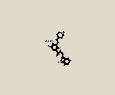 COc1c(F)cc2c(c1CCC1CCNCC1)OC(=Cc1n[nH]c3ccccc13)C2=O